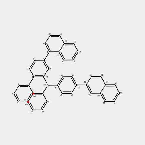 c1ccc(-c2ccc(-c3cccc4ccccc34)cc2N(c2ccccc2)c2ccc(-c3ccc4ccccc4c3)cc2)cc1